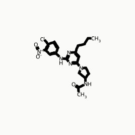 CCCCc1cc(N2CCC(NC(C)=O)C2)nc(Nc2ccc(Cl)c([N+](=O)[O-])c2)n1